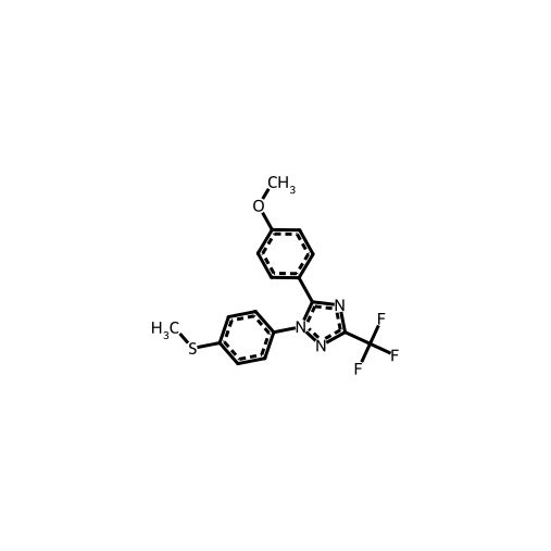 COc1ccc(-c2nc(C(F)(F)F)nn2-c2ccc(SC)cc2)cc1